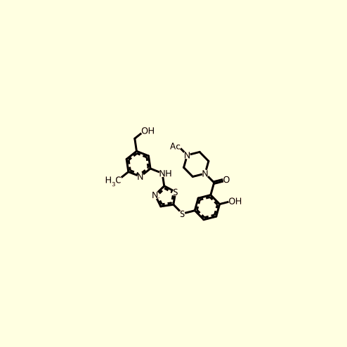 CC(=O)N1CCN(C(=O)c2cc(Sc3cnc(Nc4cc(CO)cc(C)n4)s3)ccc2O)CC1